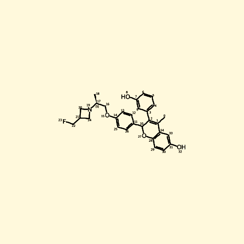 CC1=C(c2cccc(O)c2)C(c2ccc(OC[C@H](C)N3CC(CF)C3)cc2)Oc2ccc(O)cc21